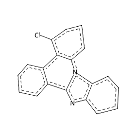 Clc1cccc2c1c1ccccc1c1nc3ccccc3n21